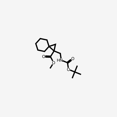 COC(=O)C1(CNC(=O)OC(C)(C)C)CC12CCCCC2